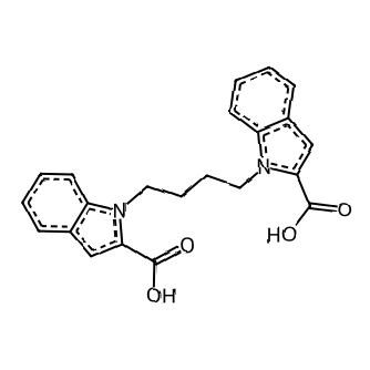 O=C(O)c1cc2ccccc2n1CCCCn1c(C(=O)O)cc2ccccc21